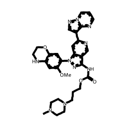 COc1cc2c(cc1-n1nc(NC(=O)OCCCN3CCN(C)CC3)c3cnc(-c4cnn5cccnc45)cc31)OCCN2